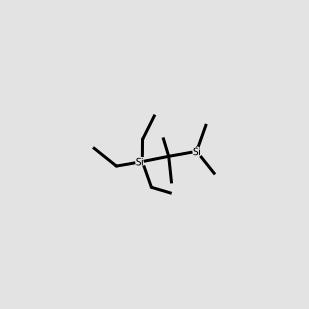 CC[Si](CC)(CC)C(C)(C)[Si](C)C